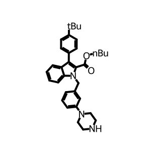 CCCCOC(=O)c1c(-c2ccc(C(C)(C)C)cc2)c2ccccc2n1Cc1cccc(N2CCNCC2)c1